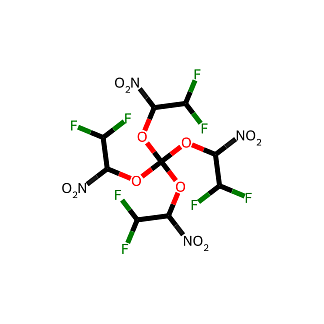 O=[N+]([O-])C(OC(OC(C(F)F)[N+](=O)[O-])(OC(C(F)F)[N+](=O)[O-])OC(C(F)F)[N+](=O)[O-])C(F)F